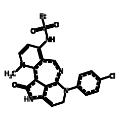 CCS(=O)(=O)NC1=c2cnc3c4c([nH]c(=O)c-4c2N(C)C=C1)=CCN3c1ccc(Cl)cc1